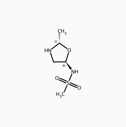 C[C@H]1NC[C@H](NS(C)(=O)=O)O1